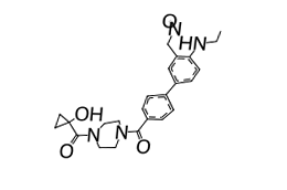 CCNc1ccc(-c2ccc(C(=O)N3CCN(C(=O)C4(O)CC4)CC3)cc2)cc1CN=O